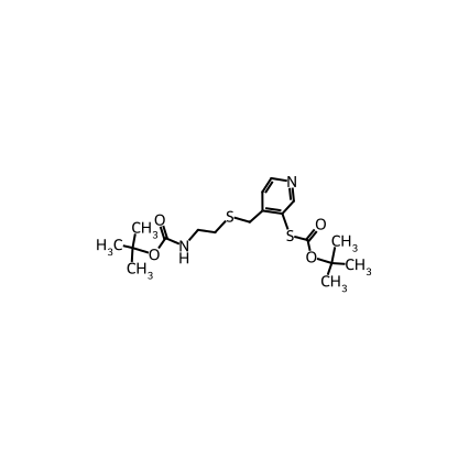 CC(C)(C)OC(=O)NCCSCc1ccncc1SC(=O)OC(C)(C)C